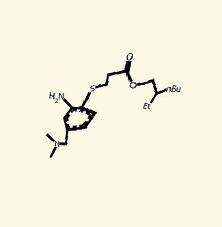 CCCCC(CC)COC(=O)CCSc1ccc(CN(C)C)cc1N